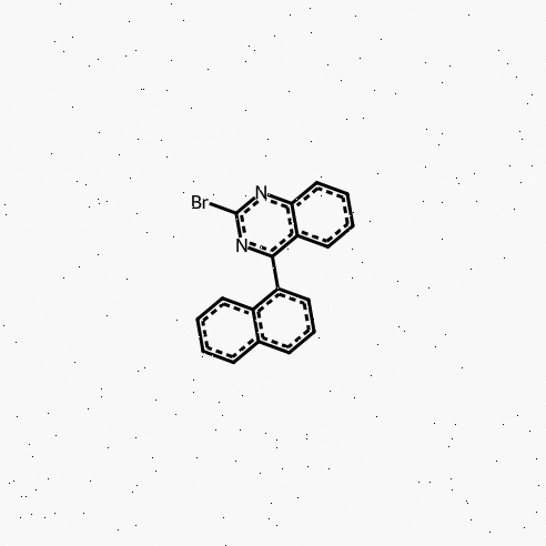 Brc1nc(-c2cccc3ccccc23)c2ccccc2n1